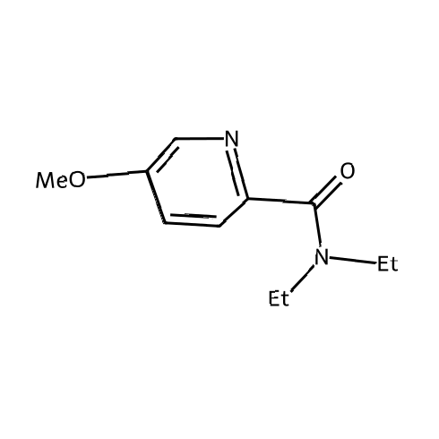 CCN(CC)C(=O)c1ccc(OC)cn1